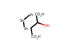 C[CH](C)[Sn][CH](C)C.O=C(O)CC(O)C(=O)O